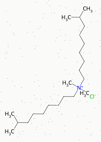 CC(C)CCCCCCC[N+](C)(C)CCCCCCCC(C)C.[Cl-]